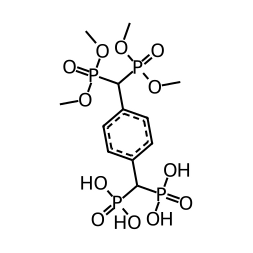 COP(=O)(OC)C(c1ccc(C(P(=O)(O)O)P(=O)(O)O)cc1)P(=O)(OC)OC